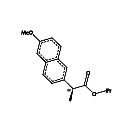 COc1ccc2cc([C@H](C)C(=O)OC(C)C)ccc2c1